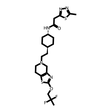 Cc1nnc(CC(=O)N[C@H]2CC[C@H](CCN3CCc4sc(OCC(C)(F)F)nc4C3)CC2)s1